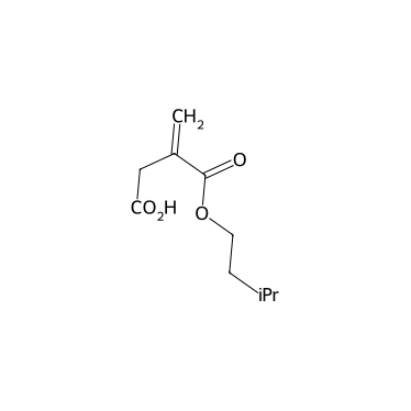 C=C(CC(=O)O)C(=O)OCCC(C)C